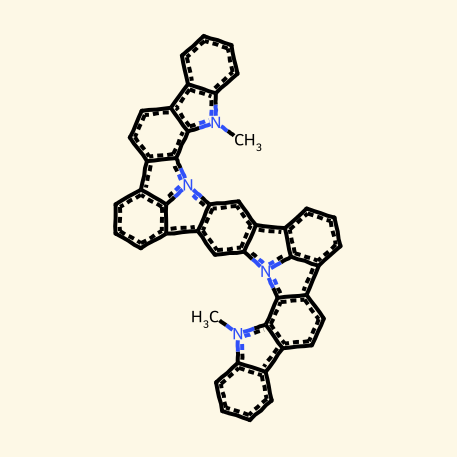 Cn1c2ccccc2c2ccc3c4cccc5c6cc7c(cc6n(c54)c3c21)c1cccc2c3ccc4c5ccccc5n(C)c4c3n7c12